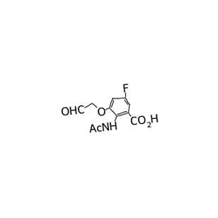 CC(=O)Nc1c(OCC=O)cc(F)cc1C(=O)O